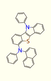 c1ccc(N(c2cccc3ccccc23)c2cccc3c2sc2c4ccccc4n(-c4ccccc4)c32)cc1